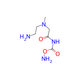 CN(CCN)CC(=O)NC(=O)ON